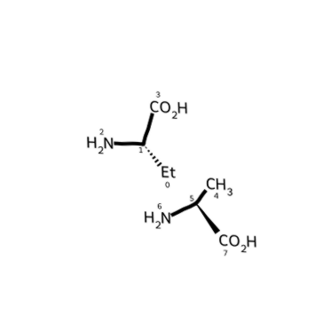 CC[C@H](N)C(=O)O.C[C@H](N)C(=O)O